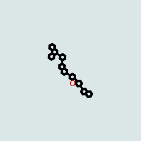 c1cc(-c2ccc3ccc(-c4ccc5c(c4)oc4cc(-c6ccc7ccccc7c6)ccc45)cc3c2)cc(-c2cc3ccccc3c3ccccc23)c1